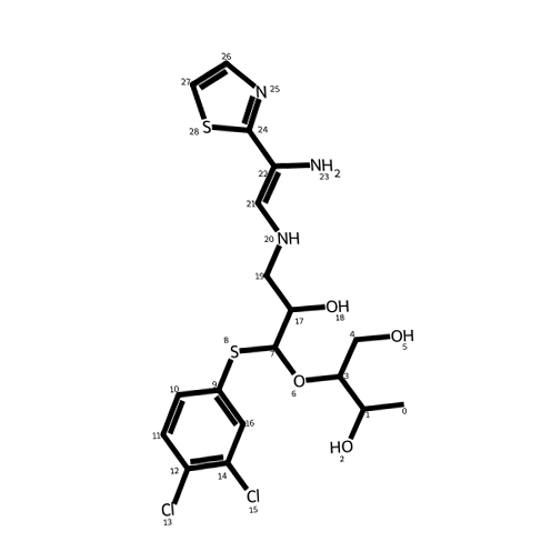 CC(O)C(CO)OC(Sc1ccc(Cl)c(Cl)c1)C(O)CN/C=C(\N)c1nccs1